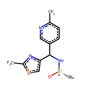 CC(C)(C)[S@+]([O-])NC(c1ccc(C(F)(F)F)nc1)c1csc(C(F)(F)F)n1